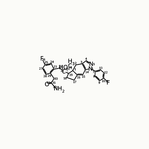 C[C@]12Cc3cnn(-c4ccc(F)cc4)c3C=C1CC[C@@]2(O)CCc1cc(F)ccc1CC(N)=O